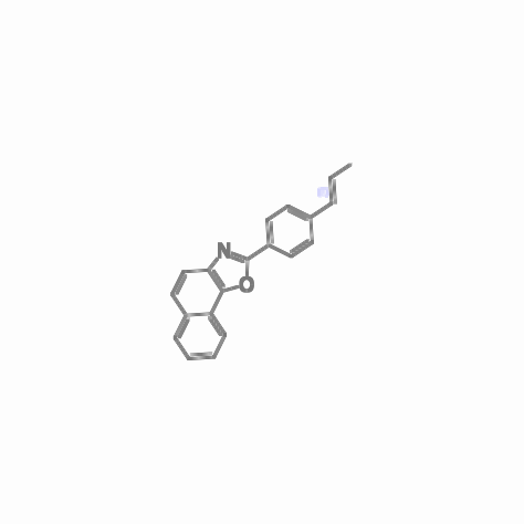 C/C=C/c1ccc(-c2nc3ccc4ccccc4c3o2)cc1